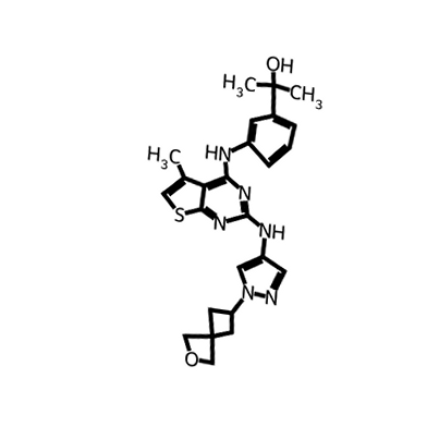 Cc1csc2nc(Nc3cnn(C4CC5(COC5)C4)c3)nc(Nc3cccc(C(C)(C)O)c3)c12